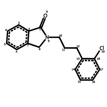 O=C1c2ccccc2CN1CCCc1ccccc1Cl